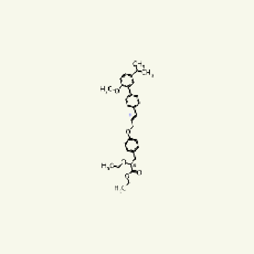 CCOC(=O)[C@H](Cc1ccc(OC/C=C/c2ccc(-c3cc(C(C)C)ccc3OC)cc2)cc1)OCC